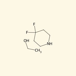 CCO.FC1(F)CCNCC1